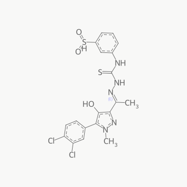 C/C(=N\NC(=S)Nc1cccc([SH](=O)=O)c1)c1nn(C)c(-c2ccc(Cl)c(Cl)c2)c1O